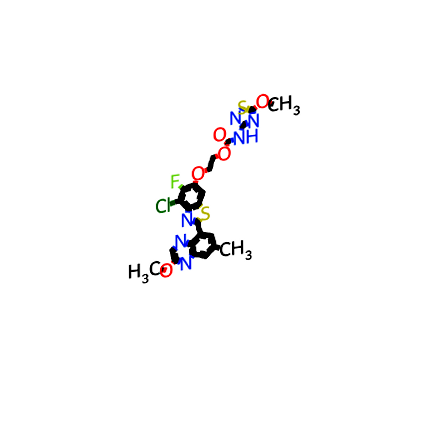 COc1cnc2c(-c3nc4c(Cl)c(F)c(OCCOC(=O)Nc5nsc(OC)n5)cc4s3)cc(C)cc2n1